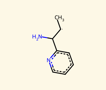 C[CH]C(N)c1ccccn1